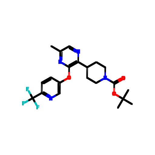 Cc1cnc(C2CCN(C(=O)OC(C)(C)C)CC2)c(Oc2ccc(C(F)(F)F)nc2)n1